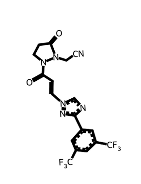 N#CCN1C(=O)CCN1C(=O)C=Cn1cnc(-c2cc(C(F)(F)F)cc(C(F)(F)F)c2)n1